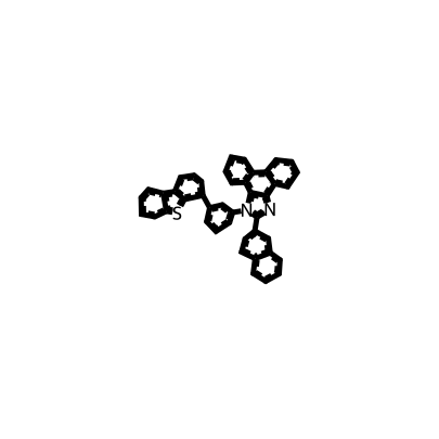 c1cc(-c2cccc3c2sc2ccccc23)cc(-n2c(-c3ccc4ccccc4c3)nc3c4ccccc4c4ccccc4c32)c1